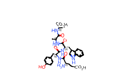 C[C@H](NC(=O)[C@H](C)NC(=O)[C@H](Cc1c[nH]c2ccccc12)NC(=O)[C@H](Cc1ccc(O)cc1)NC(=O)[C@@H](N)CCC(=O)O)C(=O)O